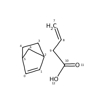 C1=CC2CCC1C2.C=CCC(=O)O